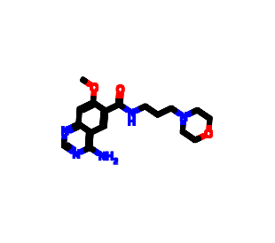 COc1cc2ncnc(N)c2cc1C(=O)NCCCN1CCOCC1